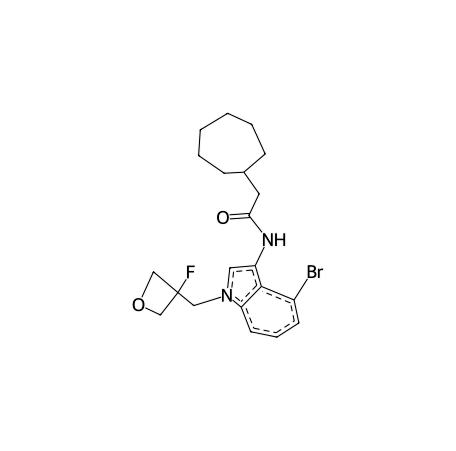 O=C(CC1CCCCCC1)Nc1cn(CC2(F)COC2)c2cccc(Br)c12